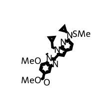 COC(=O)c1cc(OC)c2c(c1)nc(-c1cc3ccc(N(SC)C4CC4)nc3n1CC1CC1)n2C